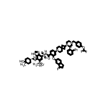 CC(C)c1ccccc1[C@@H]1CN(Cc2ccc(OC(F)F)cc2)CCN1C1CC2(CCN(c3ccc(C(=O)NS(=O)(=O)c4cc([NH+](C)[O-])c(NC[C@H]5CC[C@](C)(O)CC5)c5[nH]cnc45)c(Oc4ccc5c(c4)C(F)=CC5)c3)CC2)C1